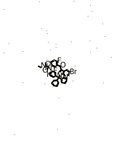 CCN(C)S(=O)(=O)Nc1ccc(F)c(C(=O)c2cn(C(c3ccccc3)(c3ccccc3)c3ccccc3)c3ncc(Br)cc23)c1F